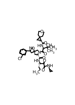 CCC[C@H](NC(=O)[C@@H]1C[C@]2(CC(c3cccc(Cl)c3)=NO2)CN1C(=O)[C@@H](NC(=O)[C@H]1CC12CCOCC2)C(C)(C)C)C(=O)C(=O)NC1CC1